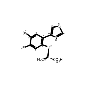 C[C@H](Oc1cc(F)c(Br)cc1-c1cocn1)C(=O)O